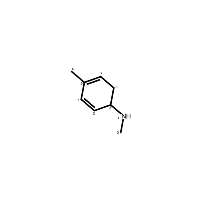 CNC1C=CC(C)=CC1